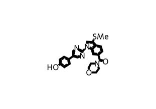 CSc1cn(-c2ncc(-c3ccc(O)cc3)cn2)c2cc(C(=O)N3CCOCC3)ccc12